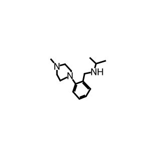 CC(C)NCc1ccccc1N1CCN(C)CC1